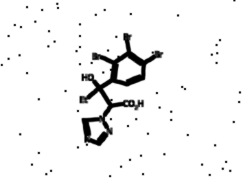 CCC(O)(c1ccc(Br)c(Br)c1Br)C(C(=O)O)n1cncn1